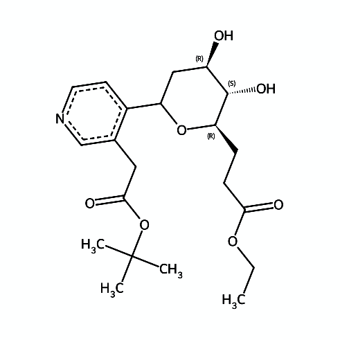 CCOC(=O)CC[C@H]1OC(c2ccncc2CC(=O)OC(C)(C)C)C[C@@H](O)[C@@H]1O